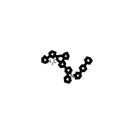 CC1c2ccc(-c3ccc4c(c3)c3ccccc3n4-c3cccc(-c4ccc(-c5ccccc5)cc4)c3)cc2-c2ccccc2CC1c1cccc(-c2ccccc2)c1